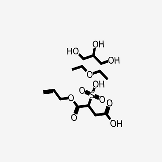 C=CCOC(=O)C(CC(=O)O)S(=O)(=O)O.CCOCC.OCC(O)CO